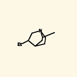 CCC1CN2CCC1CC2C